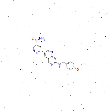 COc1ccc(CN(C)c2cc3ncc(-c4cc(C(N)=O)cnn4)cc3cn2)cc1